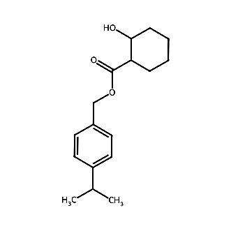 CC(C)c1ccc(COC(=O)C2CCCCC2O)cc1